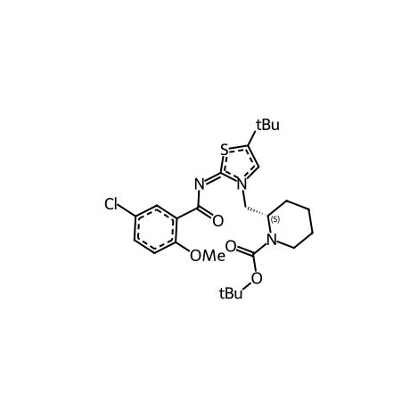 COc1ccc(Cl)cc1C(=O)N=c1sc(C(C)(C)C)cn1C[C@@H]1CCCCN1C(=O)OC(C)(C)C